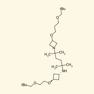 CC(C)(C)COCCCOC1CN(C(C)(C)CCC(C)(C)N[C@H]2C[C@H](OCCOCC(C)(C)C)C2)C1